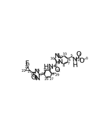 COC(=O)NCc1ccn2c(C(=O)Nc3cc(-c4noc([C@H]5C[C@@H]5F)n4)ccc3C)cnc2c1